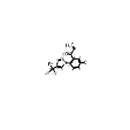 C=CC(O)c1cc(Cl)ccc1-n1cc(C(F)(F)F)nn1